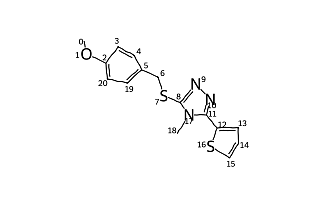 COc1ccc(CSc2nnc(-c3cccs3)n2C)cc1